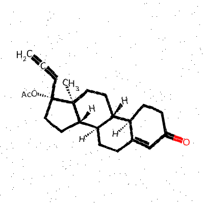 C=C=C[C@]1(OC(C)=O)CC[C@H]2[C@@H]3CCC4=CC(=O)CC[C@@H]4[C@H]3CC[C@@]21C